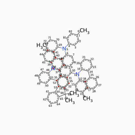 Cc1ccc(N(c2ccc3c(N(c4ccc(C)cc4)c4ccccc4-c4ccccc4)c4cc5c(cc4c(N(c4ccc(C)cc4)c4ccccc4-c4ccccc4)c3c2)-c2ccccc2C5(C)C)c2ccccc2-c2ccccc2)cc1